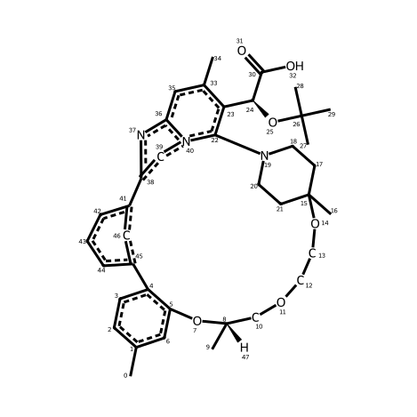 Cc1ccc2c(c1)O[C@@H](C)COCCOC1(C)CCN(CC1)c1c([C@H](OC(C)(C)C)C(=O)O)c(C)cc3nc(cn13)-c1cccc-2c1